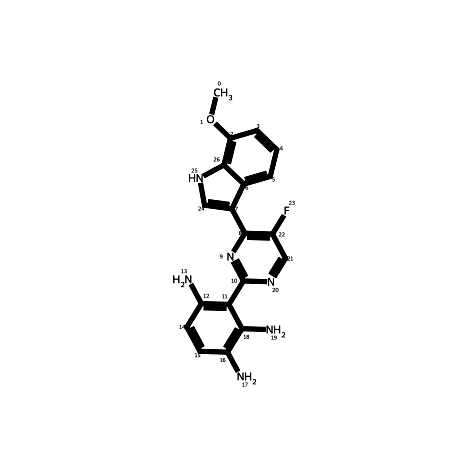 COc1cccc2c(-c3nc(-c4c(N)ccc(N)c4N)ncc3F)c[nH]c12